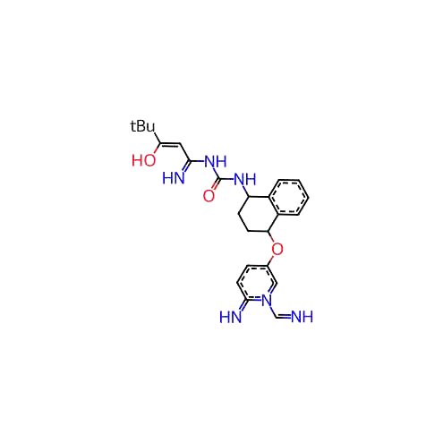 CC(C)(C)/C(O)=C/C(=N)NC(=O)NC1CCC(Oc2ccc(=N)n(C=N)c2)c2ccccc21